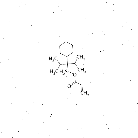 C=CC(=O)O[SiH2]C(C(C)C)(C(C)C)C1CCCCC1